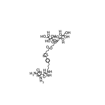 N=C(NCCCCc1ccc(-c2ncc(CCC(=O)OCCCCN(C[C@H](O)[C@@H](O)[C@H](O)[C@H](O)CO)C[C@H](O)[C@@H](O)[C@H](O)[C@H](O)CO)s2)cc1)NC(=O)c1nc(Cl)c(N)nc1N